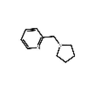 [c]1cccc(CN2CCCC2)n1